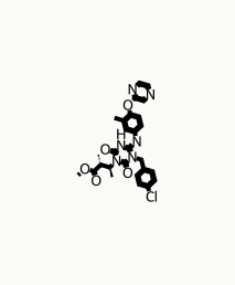 COC(=O)[C@H](C)[C@H](C)n1c(=O)[nH]/c(=N\c2ccc(Oc3cnccn3)c(C)c2)n(Cc2ccc(Cl)cc2)c1=O